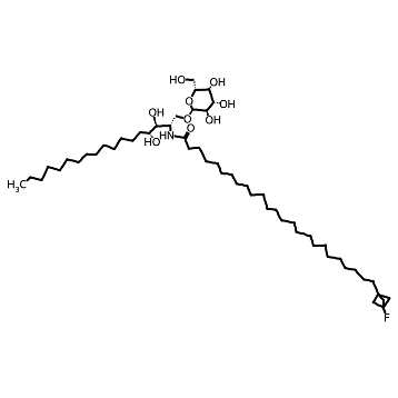 CCCCCCCCCCCCCC[C@@H](O)[C@@H](O)[C@H](CO[C@H]1O[C@H](CO)[C@H](O)[C@H](O)[C@H]1O)NC(=O)CCCCCCCCCCCCCCCCCCCCCCCCC12CC(F)(C1)C2